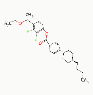 CCCC[C@H]1CC[C@H](c2ccc(C(=O)Oc3ccc(C(C)OCC)c(F)c3F)cc2)CC1